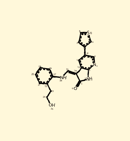 O=C1Nc2ncc(-c3ccsc3)cc2C1=CNc1ccccc1CCO